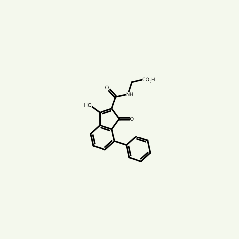 O=C(O)CNC(=O)C1=C(O)c2cccc(-c3ccccc3)c2C1=O